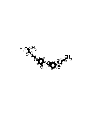 C=C(C)C(=O)OCCOc1ccc(-n2n3c4ccc(S(=O)(=O)CCCC)cc4n23)c(O)c1